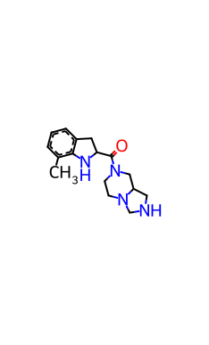 Cc1cccc2c1NC(C(=O)N1CCN3CNCC3C1)C2